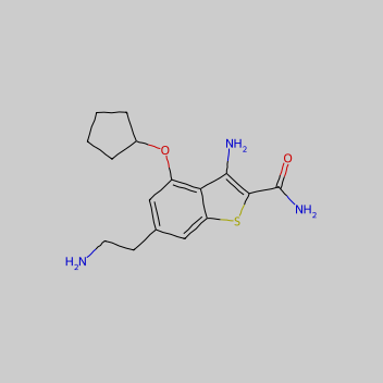 NCCc1cc(OC2CCCC2)c2c(N)c(C(N)=O)sc2c1